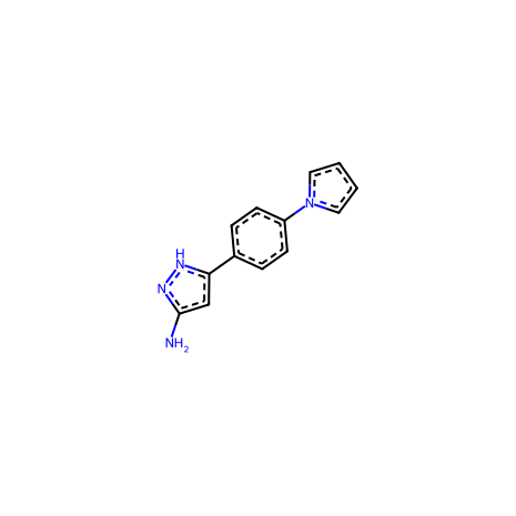 Nc1cc(-c2ccc(-n3cccc3)cc2)[nH]n1